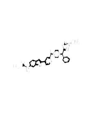 CC(=O)Nc1ccc2cc(-c3ccnc(C(=O)N4CCN(C(c5ccccc5)c5nnn(C)n5)CC4)c3)[nH]c2c1